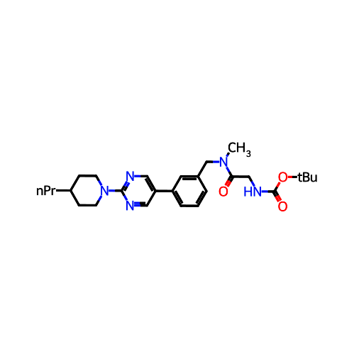 CCCC1CCN(c2ncc(-c3cccc(CN(C)C(=O)CNC(=O)OC(C)(C)C)c3)cn2)CC1